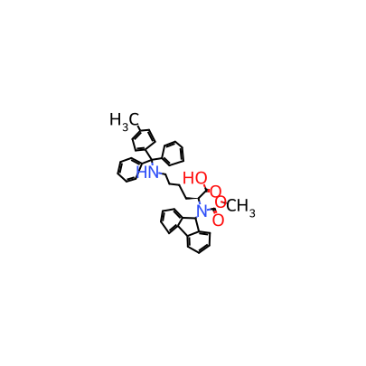 COC(=O)N(C1c2ccccc2-c2ccccc21)[C@@H](CCCCNC(c1ccccc1)(c1ccccc1)c1ccc(C)cc1)C(=O)O